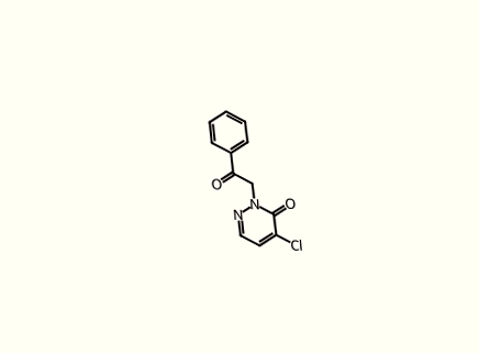 O=C(Cn1nccc(Cl)c1=O)c1ccccc1